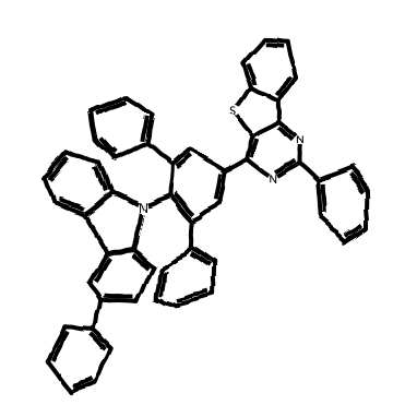 c1ccc(-c2ccc3c(c2)c2ccccc2n3-c2c(-c3ccccc3)cc(-c3nc(-c4ccccc4)nc4c3sc3ccccc34)cc2-c2ccccc2)cc1